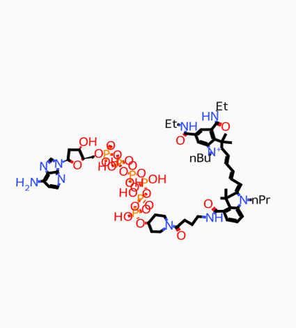 CCCC[N+]1=C(/C=C/C=C/C=C2/N(CCC)c3cccc(C(=O)NCCCC(=O)N4CCC(OP(=O)(O)OP(=O)(O)OP(=O)(O)OP(=O)(O)OP(=O)(O)OP(=O)(O)OC[C@H]5O[C@@H](n6cnc7c(N)ccnc76)C[C@H]5O)CC4)c3C2(C)C)C(C)(C)c2c(C(=O)NCC)cc(C(=O)NCC)cc21